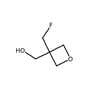 OCC1(CF)COC1